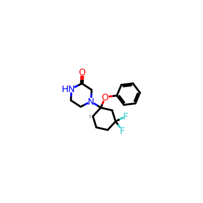 O=C1CN(C2(Oc3ccccc3)[C]CCC(F)(F)C2)CCN1